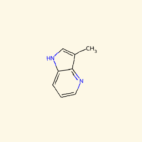 Cc1c[nH]c2cccnc12